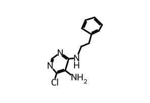 Nc1c(Cl)ncnc1NCCc1ccccc1